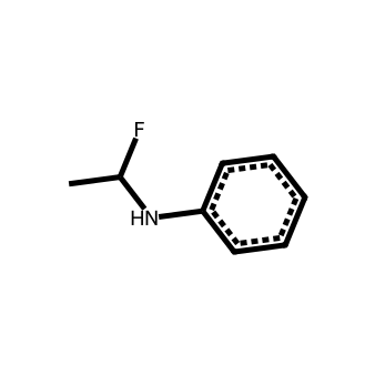 CC(F)Nc1ccccc1